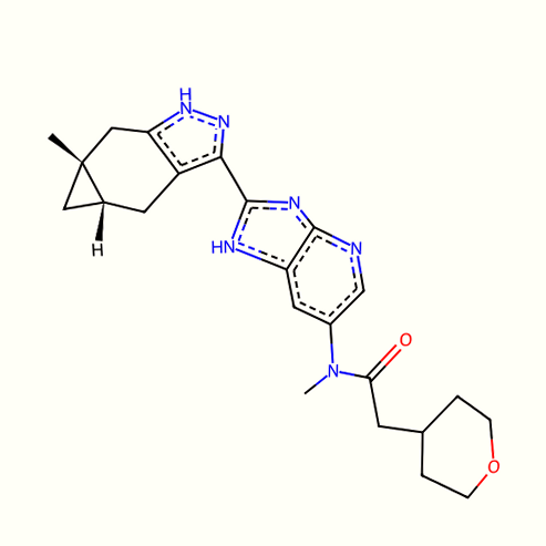 CN(C(=O)CC1CCOCC1)c1cnc2nc(-c3n[nH]c4c3C[C@@H]3C[C@]3(C)C4)[nH]c2c1